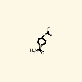 NC(=O)N1CCC(OC(F)F)CC1